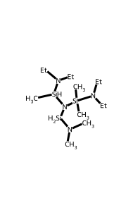 CCN(CC)[SiH](C)N([SiH2]N(C)C)[Si](C)(C)N(CC)CC